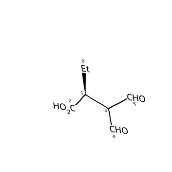 CC[C@H](C(=O)O)C(C=O)C=O